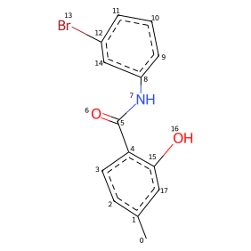 Cc1ccc(C(=O)Nc2cccc(Br)c2)c(O)c1